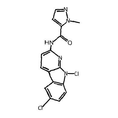 Cn1nccc1C(=O)Nc1ccc2c3cc(Cl)ccc3n(Cl)c2n1